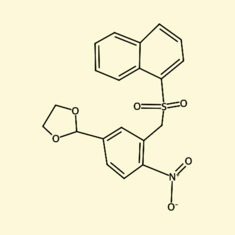 O=[N+]([O-])c1ccc(C2OCCO2)cc1CS(=O)(=O)c1cccc2ccccc12